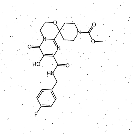 COC(=O)N1CCC2(CC1)OCCn1c2nc(C(=O)NCc2ccc(F)cc2)c(O)c1=O